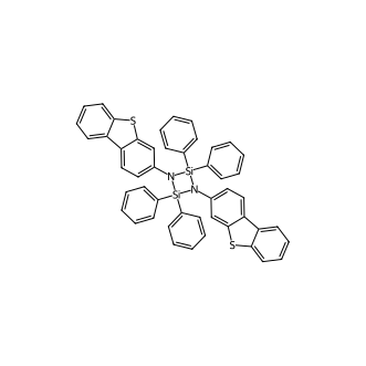 c1ccc([Si]2(c3ccccc3)N(c3ccc4c(c3)sc3ccccc34)[Si](c3ccccc3)(c3ccccc3)N2c2ccc3c(c2)sc2ccccc23)cc1